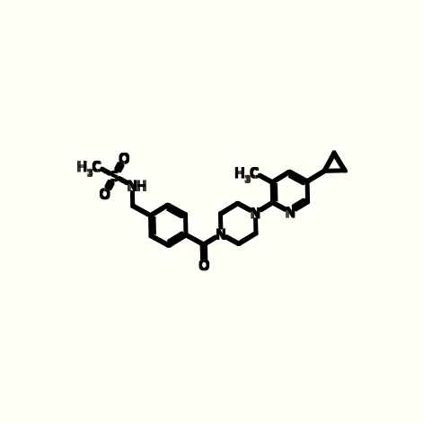 Cc1cc(C2CC2)cnc1N1CCN(C(=O)c2ccc(CNS(C)(=O)=O)cc2)CC1